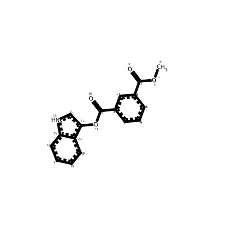 COC(=O)c1cccc(C(=O)Oc2c[nH]c3ccccc23)c1